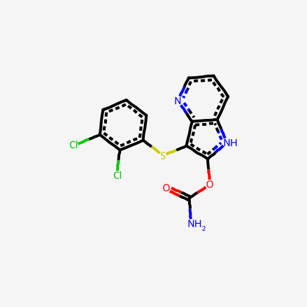 NC(=O)Oc1[nH]c2cccnc2c1Sc1cccc(Cl)c1Cl